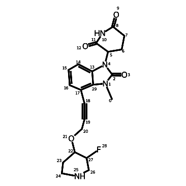 Cn1c(=O)n(C2CCC(=O)NC2=O)c2cccc(C#CCOC3CCNCC3F)c21